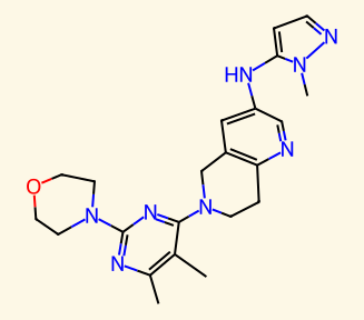 Cc1nc(N2CCOCC2)nc(N2CCc3ncc(Nc4ccnn4C)cc3C2)c1C